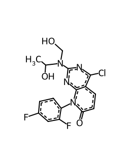 CC(O)N(CO)c1nc(Cl)c2ccc(=O)n(-c3ccc(F)cc3F)c2n1